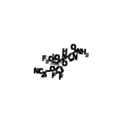 C[C@H]1[C@@H](c2ccc(F)c(F)c2OCCC2(C#N)CC2)[C@H](C(=O)Nc2ccnc(C(N)=O)c2)O[C@@]1(C)C(F)(F)F